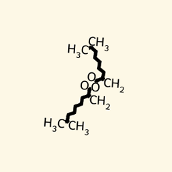 C=C(CCCCCC(C)C)C(=O)OC(=O)C(=C)CCCCCC(C)C